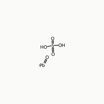 O=S(=O)(O)O.[O]=[Pb]